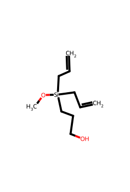 C=CC[Si](CC=C)(CCCO)OC